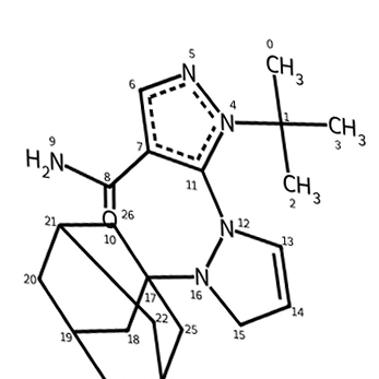 CC(C)(C)n1ncc(C(N)=O)c1N1C=CCN1C12CC3CC(CC(C3)C1)C2